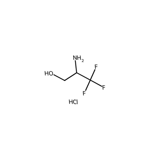 Cl.NC(CO)C(F)(F)F